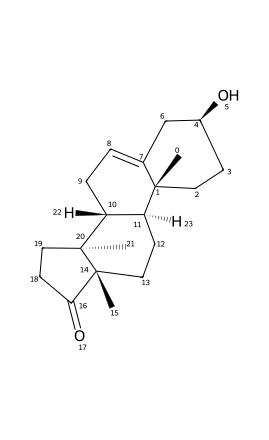 C[C@]12CC[C@H](O)CC1=CC[C@@H]1[C@@H]2CC[C@]2(C)C(=O)CC[C@@]12C